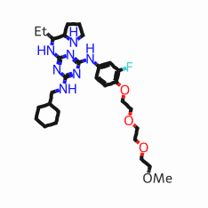 CCC(Nc1nc(NCC2CCCCC2)nc(Nc2ccc(OCCOCCOCCOC)c(F)c2)n1)C1CCCN1